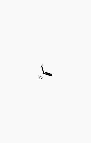 C=CBr.[Yb]